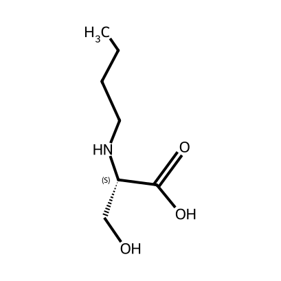 CCCCN[C@@H](CO)C(=O)O